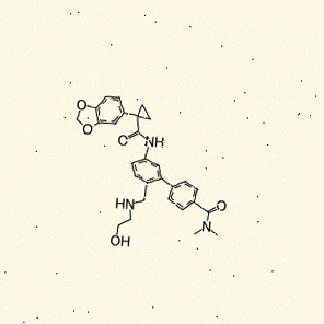 CN(C)C(=O)c1ccc(-c2cc(NC(=O)C3(c4ccc5c(c4)OCO5)CC3)ccc2CNCCO)cc1